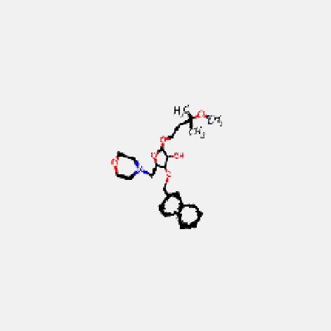 COC(C)(C)CCOC1OC(CN2CCOCC2)C(OCc2ccc3ccccc3c2)C1O